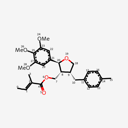 C/C=C(\C)C(=O)OC[C@H]1[C@@H](Cc2ccc(C)cc2)CO[C@@H]1c1cc(OC)c(OC)c(OC)c1